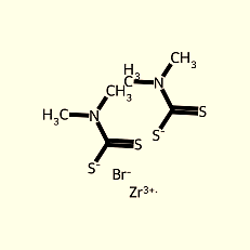 CN(C)C(=S)[S-].CN(C)C(=S)[S-].[Br-].[Zr+3]